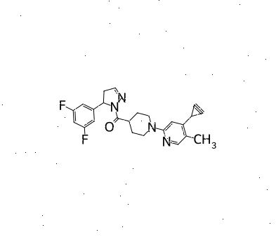 Cc1cnc(N2CCC(C(=O)N3N=CCC3c3cc(F)cc(F)c3)CC2)cc1C1C#C1